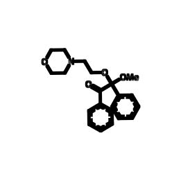 COC(OCCN1CCOCC1)(C(=O)c1ccccc1)c1ccccc1